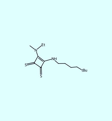 CCN(C)c1c(NCCCCC(C)(C)C)c(=S)c1=S